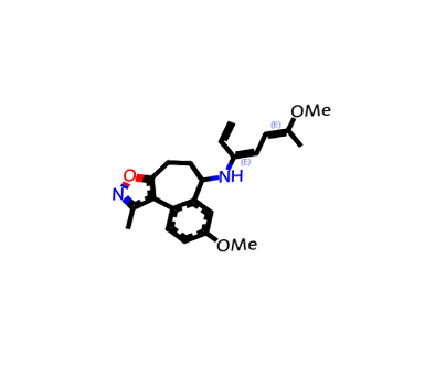 C=C/C(=C\C=C(/C)OC)NC1CCc2onc(C)c2-c2ccc(OC)cc21